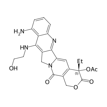 CC[C@@]1(OC(C)=O)C(=O)OCc2c1cc1n(c2=O)Cc2c-1nc1cccc(N)c1c2NCCO